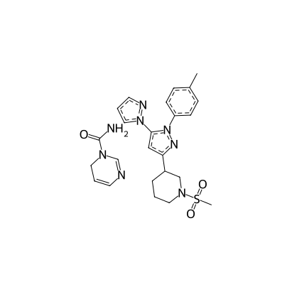 Cc1ccc(-n2nc(C3CCCN(S(C)(=O)=O)C3)cc2-n2cccn2)cc1.NC(=O)N1C=NC=CC1